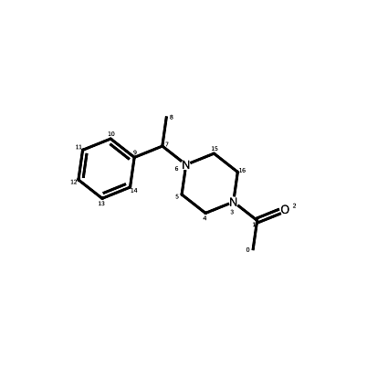 CC(=O)N1CCN(C(C)c2ccccc2)CC1